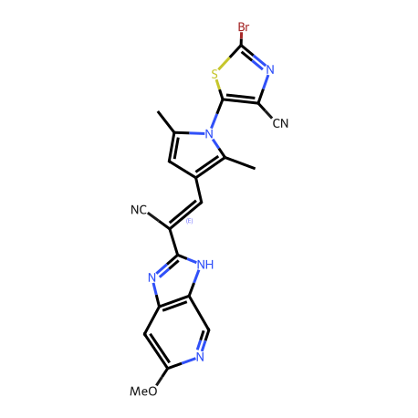 COc1cc2nc(/C(C#N)=C/c3cc(C)n(-c4sc(Br)nc4C#N)c3C)[nH]c2cn1